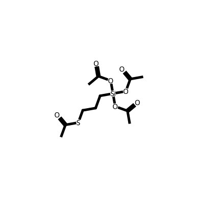 CC(=O)O[Si](CCCSC(C)=O)(OC(C)=O)OC(C)=O